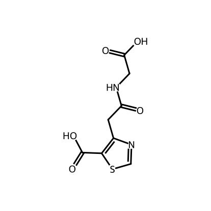 O=C(O)CNC(=O)Cc1ncsc1C(=O)O